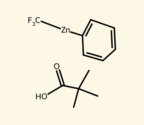 CC(C)(C)C(=O)O.F[C](F)(F)[Zn][c]1ccccc1